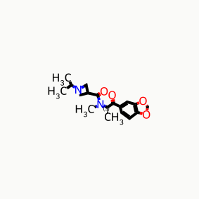 CC(C)N1CC(C(=O)N(C)[C@@H](C)C(=O)c2ccc3c(c2)OCO3)C1